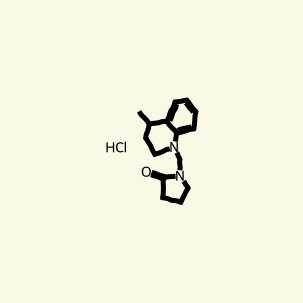 CC1CCN(CN2CCCC2=O)c2ccccc21.Cl